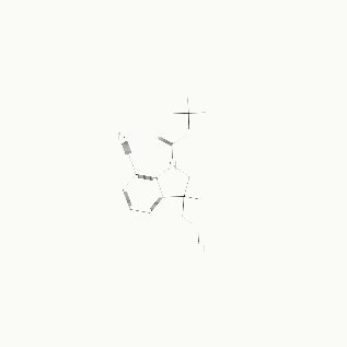 COCC1(C)CN(C(=O)OC(C)(C)C)c2c(C#N)cccc21